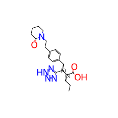 CCC[C@H](C(=O)O)[C@H](Cc1ccc(CCN2CCCCC2=O)cc1)c1nn[nH]n1